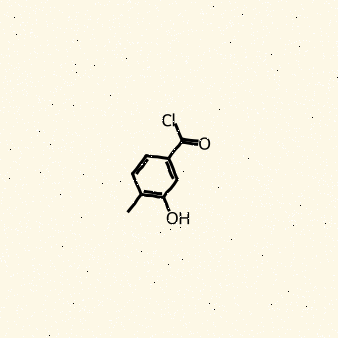 Cc1ccc(C(=O)Cl)cc1O